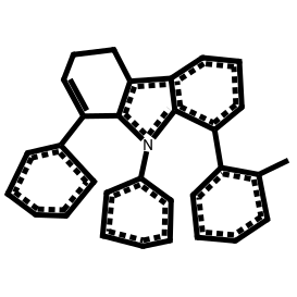 Cc1ccccc1-c1cccc2c3c(n(-c4ccccc4)c12)C(c1ccccc1)=CCC3